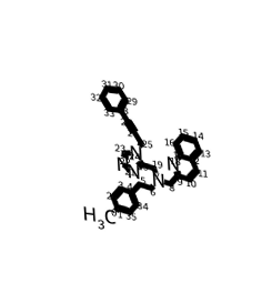 Cc1ccc(CCN(Cc2ccc3ccccc3n2)Cc2nncn2CC#Cc2ccccc2)cc1